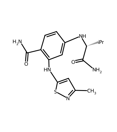 Cc1cc(Nc2cc(N[C@@H](C(N)=O)C(C)C)ccc2C(N)=O)sn1